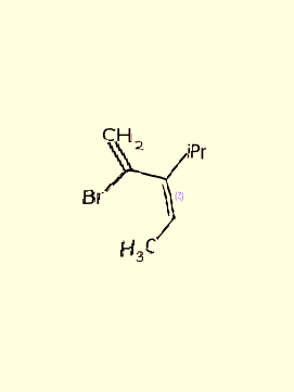 C=C(Br)/C(=C\C)C(C)C